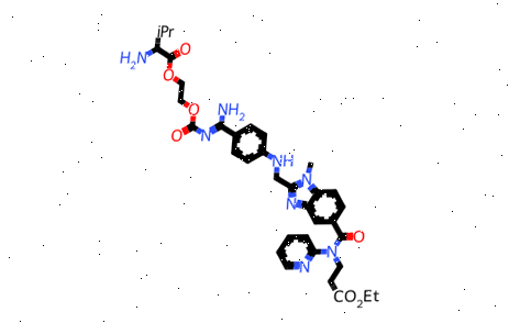 CCOC(=O)CCN(C(=O)c1ccc2c(c1)nc(CNc1ccc(C(N)=NC(=O)OCCOC(=O)C(N)C(C)C)cc1)n2C)c1ccccn1